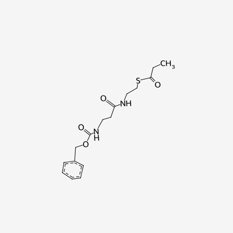 CCC(=O)SCCNC(=O)CCNC(=O)OCc1ccccc1